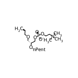 C=CCOC[C@H](COP(=O)([O-])OCC[N+](C)(C)C)OCCCCC